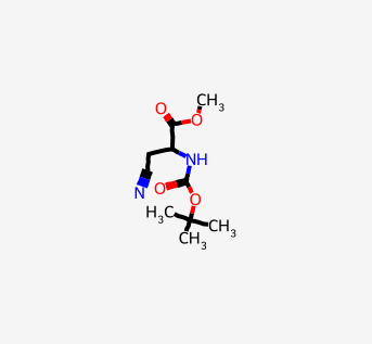 COC(=O)C(CC#N)NC(=O)OC(C)(C)C